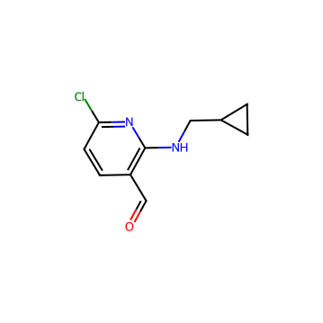 O=Cc1ccc(Cl)nc1NCC1CC1